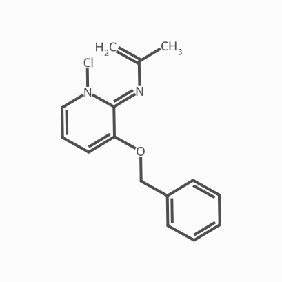 C=C(C)/N=c1/c(OCc2ccccc2)cccn1Cl